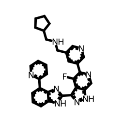 Fc1c(-c2cncc(CNCC3CCCC3)c2)ncc2[nH]nc(-c3nc4c(-c5ccccn5)cccc4[nH]3)c12